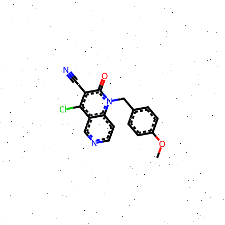 COc1ccc(Cn2c(=O)c(C#N)c(Cl)c3cnccc32)cc1